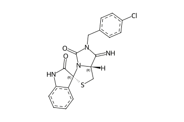 N=C1[C@@H]2CS[C@]3(C(=O)Nc4ccccc43)N2C(=O)N1Cc1ccc(Cl)cc1